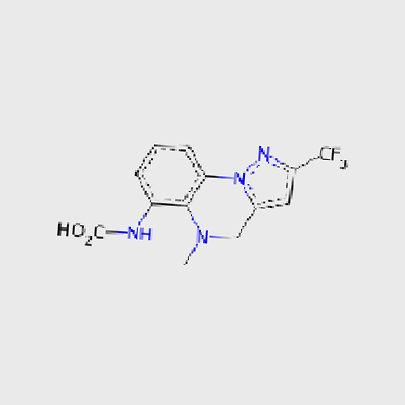 CN1Cc2cc(C(F)(F)F)nn2-c2cccc(NC(=O)O)c21